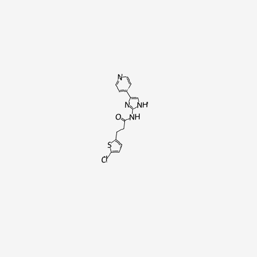 O=C(CCc1ccc(Cl)s1)Nc1nc(-c2ccncc2)c[nH]1